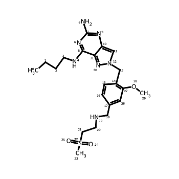 CCCCNc1nc(N)nc2cn(Cc3ccc(CNCCS(C)(=O)=O)cc3OC)nc12